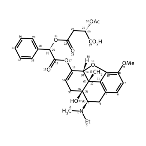 CCN(C)[C@@H]1Cc2ccc(OC)c3c2[C@@]2(C)[C@@H](O3)C(OC(=O)[C@@H](OC(=O)C[C@H](OC(C)=O)C(=O)O)c3ccccc3)=CC[C@@]12O